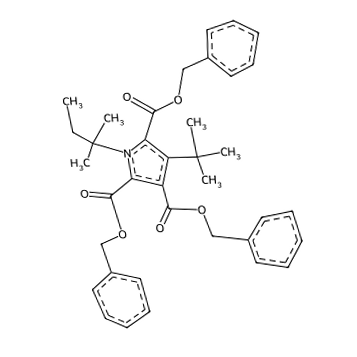 CCC(C)(C)n1c(C(=O)OCc2ccccc2)c(C(=O)OCc2ccccc2)c(C(C)(C)C)c1C(=O)OCc1ccccc1